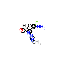 Cc1cc(F)c(N)cc1-c1cc(C2CCOCC2)nc(N2CCN(C)CC2)c1